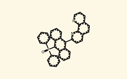 O=P(c1ccccc1)(c1ccccc1)c1c2ccccc2c(-c2ccc3ccc4cccnc4c3n2)c2ccccc12